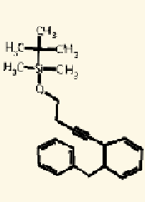 CC(C)(C)[Si](C)(C)OCCC#CC1C=CC=CC1Cc1ccccc1